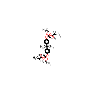 C=C(C)C(=O)OC(CC)(OCC)Oc1ccc(C(C)(C)c2ccc(OC(CC)(OCC)OC(=O)C(=C)C)cc2)cc1